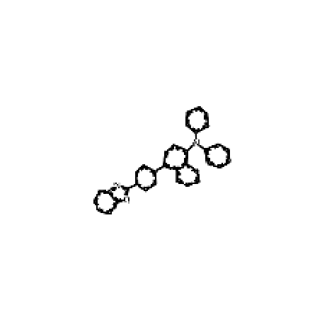 c1ccc(N(c2ccccc2)c2ccc(-c3ccc(-c4nc5ccccc5o4)cc3)c3ccccc23)cc1